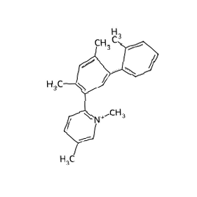 Cc1ccc(-c2cc(-c3ccccc3C)c(C)cc2C)[n+](C)c1